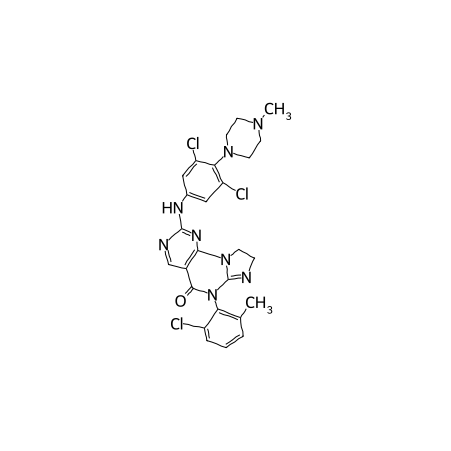 Cc1cccc(Cl)c1N1C(=O)c2cnc(Nc3cc(Cl)c(N4CCN(C)CC4)c(Cl)c3)nc2N2CCN=C21